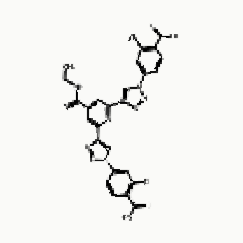 CCNC(=O)c1cc(-c2cn(-c3ccc(C(=O)O)c(Cl)c3)nn2)nc(-c2cn(-c3ccc(C(=O)O)c(Cl)c3)nn2)c1